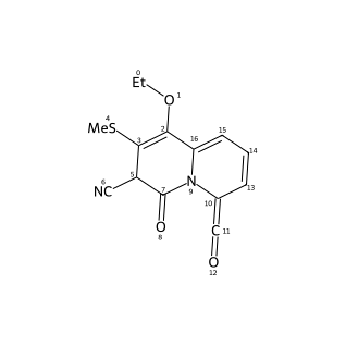 CCOC1=C(SC)C(C#N)C(=O)N2C(=C=O)C=CC=C12